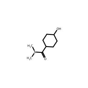 CN(C)C(=O)C1CCC(O)CC1